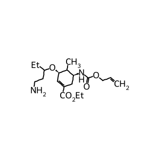 C=CCOC(=O)N[C@H]1CC(C(=O)OCC)=C[C@@H](OC(CC)CCN)C1C